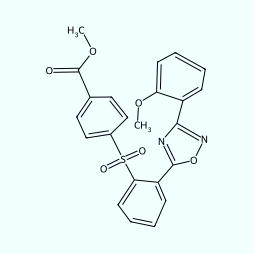 COC(=O)c1ccc(S(=O)(=O)c2ccccc2-c2nc(-c3ccccc3OC)no2)cc1